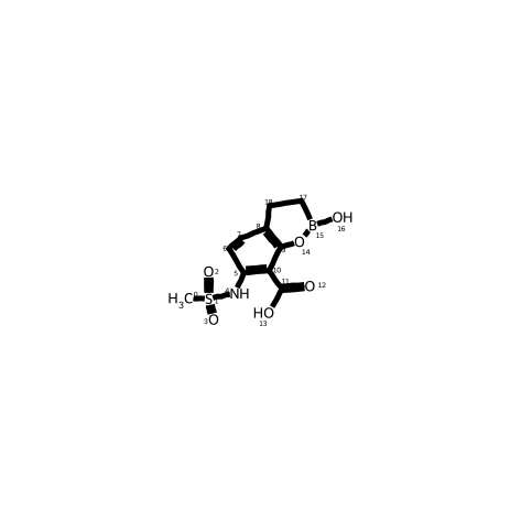 CS(=O)(=O)Nc1ccc2c(c1C(=O)O)OB(O)CC2